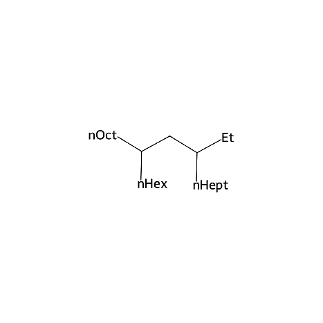 CCCCCCCCC(CCCCCC)CC(CC)CCCCCCC